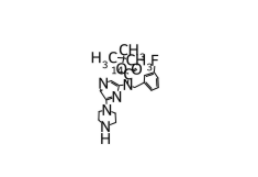 CC(C)(C)O[14C](=O)N(Cc1cccc(F)c1)c1cncc(N2CCNCC2)n1